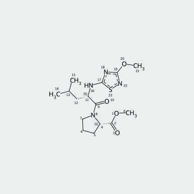 COC(=O)[C@@H]1CCCN1C(=O)[C@H](CC(C)C)Nc1nc(OC)ns1